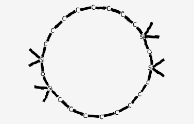 C[Si]1(C)CCCCCCCC[Si](C)(C)O[Si](C)(C)CCCCCCCC[Si](C)(C)O1